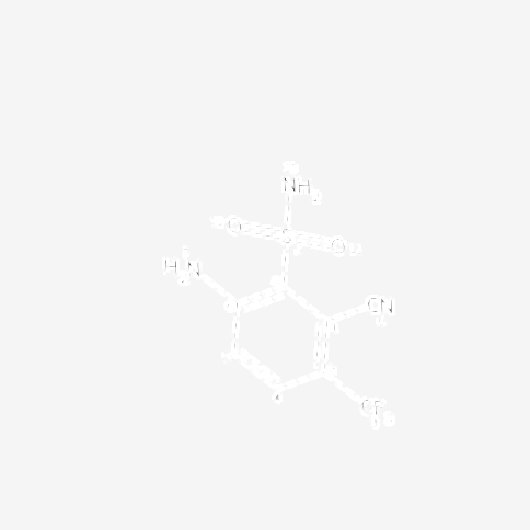 N#Cc1c(C(F)(F)F)ccc(N)c1S(N)(=O)=O